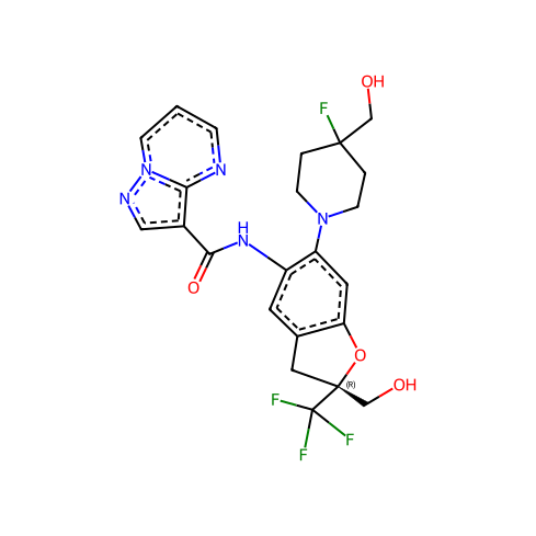 O=C(Nc1cc2c(cc1N1CCC(F)(CO)CC1)O[C@](CO)(C(F)(F)F)C2)c1cnn2cccnc12